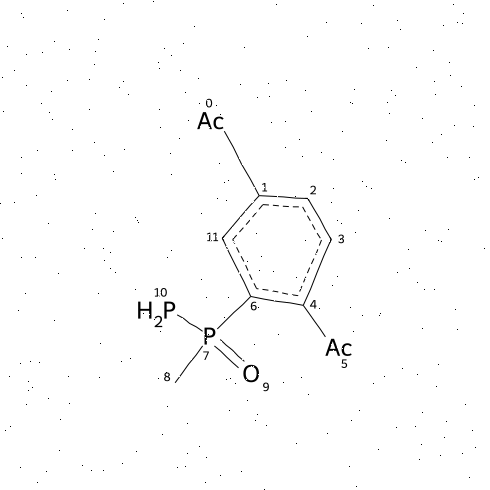 CC(=O)c1ccc(C(C)=O)c(P(C)(=O)P)c1